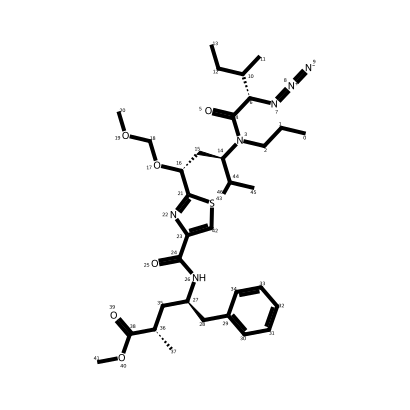 CCCN(C(=O)[C@@H](N=[N+]=[N-])C(C)CC)[C@H](C[C@@H](OCOC)c1nc(C(=O)N[C@@H](Cc2ccccc2)C[C@H](C)C(=O)OC)cs1)C(C)C